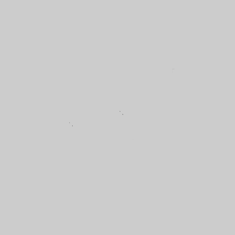 Cc1c(-c2cccnc2)n(Cc2ccccc2)c2ccc(F)cc12